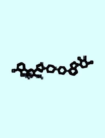 NC(N)=C(/C=C(\N)c1cccc(Cl)c1O)c1cnn(C2CCN([C@H]3CC[C@@H](c4cccc5c4CCN5C4CCC(=O)NC4=O)CC3)CC2)c1